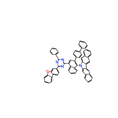 c1ccc(-c2ccc(-c3cc(-c4nc(-c5ccccc5)nc(-c5ccc6c(c5)oc5ccccc56)n4)c4ccccc4c3-n3c4cc5ccccc5cc4c4cc5ccccc5cc43)cc2)cc1